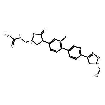 CC(=O)NC[C@H]1CN(c2ccc(-c3ccc(C4=NO[C@H](CO)C4)nc3)c(F)c2)C(=O)O1